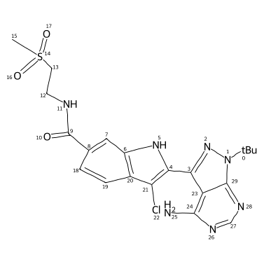 CC(C)(C)n1nc(-c2[nH]c3cc(C(=O)NCCS(C)(=O)=O)ccc3c2Cl)c2c(N)ncnc21